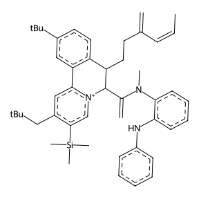 C=C(/C=C\C)CCC1c2ccc(C(C)(C)C)cc2-c2cc(CC(C)(C)C)c([Si](C)(C)C)c[n+]2C1C(=C)N(C)c1ccccc1Nc1ccccc1